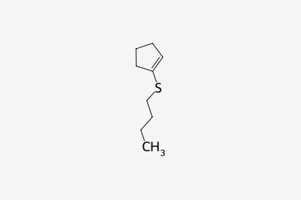 CCCCSC1=CCCC1